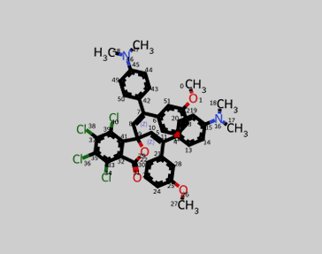 COc1cccc(/C(=C\C2(/C=C(/c3ccc(N(C)C)cc3)c3cccc(OC)c3)OC(=O)c3c(Cl)c(Cl)c(Cl)c(Cl)c32)c2ccc(N(C)C)cc2)c1